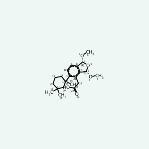 CO[C@@H]1O[C@H](OC)c2c1ccc([C@@]1(C)CCCC(C)(C)C1)c2CC(=O)O